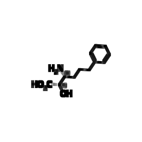 N[C@H](CCCc1ccccc1)[C@H](O)C(=O)O